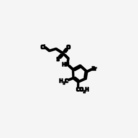 Cc1c(NCS(=O)(=S)CCCl)cc(Br)cc1C(=O)O